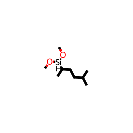 CO[SiH](OC)C(C)CCC(C)C